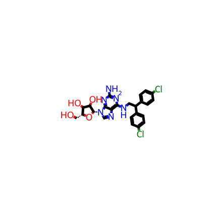 Nc1nc(NCC(c2ccc(Cl)cc2)c2ccc(Cl)cc2)c2ncn([C@@H]3O[C@H](CO)C(O)C3O)c2n1